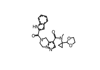 CN(C(=O)c1cnn2c1CN(C(=O)c1cc3ccccc3[nH]1)CC2)C1(C2OCCO2)CC1